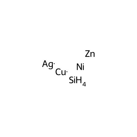 [Ag].[Cu].[Ni].[SiH4].[Zn]